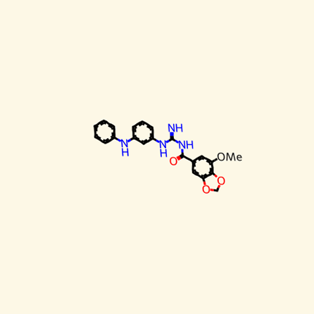 COc1cc(C(=O)NC(=N)Nc2cccc(Nc3ccccc3)c2)cc2c1OCO2